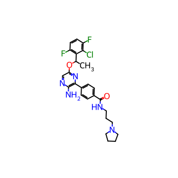 CC(Oc1cnc(N)c(-c2ccc(C(=O)NCCCN3CCCC3)cc2)n1)c1c(F)ccc(F)c1Cl